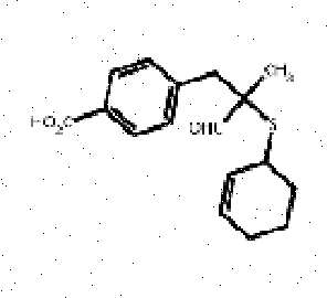 CC(C=O)(Cc1ccc(C(=O)O)cc1)SC1C=CCCC1